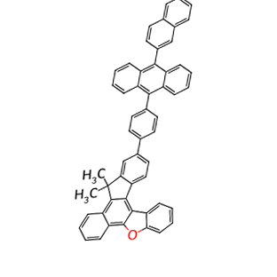 CC1(C)c2cc(-c3ccc(-c4c5ccccc5c(-c5ccc6ccccc6c5)c5ccccc45)cc3)ccc2-c2c1c1ccccc1c1oc3ccccc3c21